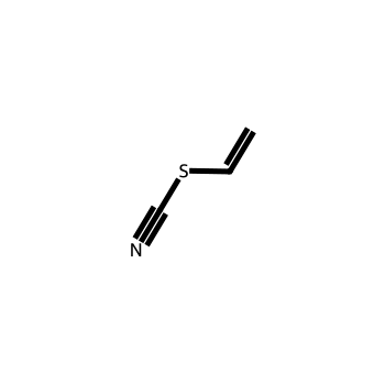 C=CSC#N